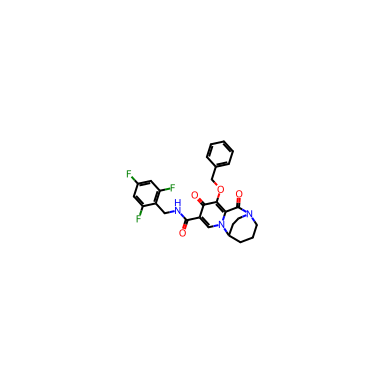 O=C(NCc1c(F)cc(F)cc1F)c1cn2c(c(OCc3ccccc3)c1=O)C(=O)N1CCCC2CC1